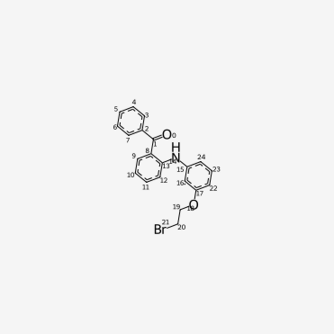 O=C(c1ccccc1)c1ccccc1Nc1[c]c(OCCBr)ccc1